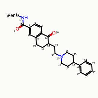 CCCC(C)NC(=O)c1ccc2c(c1)CCC(CCN1CCC(c3ccccc3)CC1)C2=O